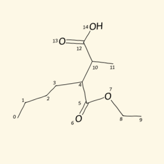 CCCCC(C(=O)OCC)C(C)C(=O)O